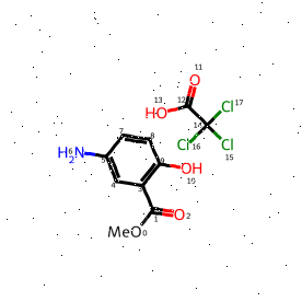 COC(=O)c1cc(N)ccc1O.O=C(O)C(Cl)(Cl)Cl